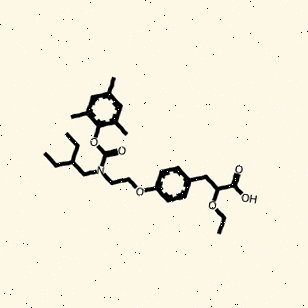 CCOC(Cc1ccc(OCCN(CC(CC)CC)C(=O)Oc2c(C)cc(C)cc2C)cc1)C(=O)O